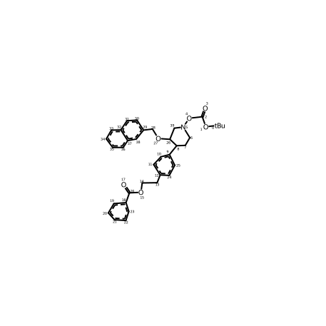 CC(C)(C)OC(=O)ON1CCC(c2ccc(CCOC(=O)c3ccccc3)cc2)C(OCc2ccc3ccccc3c2)C1